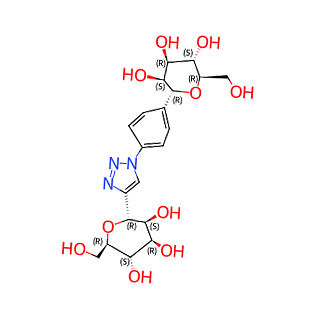 OC[C@H]1O[C@H](c2ccc(-n3cc([C@H]4O[C@H](CO)[C@@H](O)[C@H](O)[C@@H]4O)nn3)cc2)[C@@H](O)[C@@H](O)[C@@H]1O